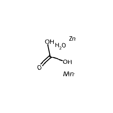 O.O=C(O)O.[Mn].[Zn]